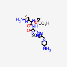 Nc1nc(C(=NOC2(C(=O)O)CC2)C(=O)N[C@@H]2C(=O)N(S(=O)(=O)O)[C@H]2Cn2ncc(CN3CCC(N)CC3)n2)cs1